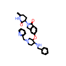 C=C1CCC(N2Cc3cc(OC4CN(Cc5ccccn5)CCC4NCc4ccccc4)ccc3C2=O)C(=O)N1